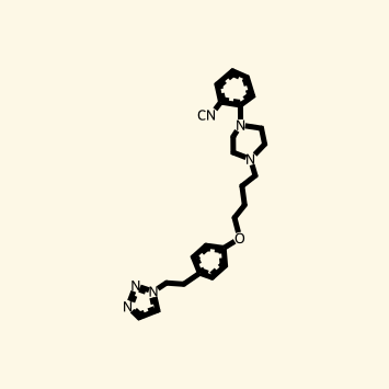 [C-]#[N+]c1ccccc1N1CCN(CCCCOc2ccc(CCn3ccnn3)cc2)CC1